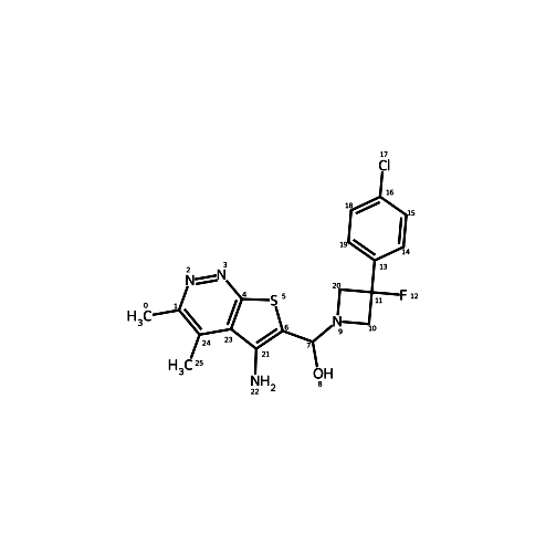 Cc1nnc2sc(C(O)N3CC(F)(c4ccc(Cl)cc4)C3)c(N)c2c1C